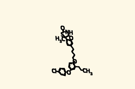 CCCc1cc(Oc2ccc(Cl)cc2)ccc1OCCCCc1ccc(C2(C)SC(=O)NC2=O)cc1